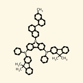 Cc1ccc2c(-c3cccc4cc(-n5c6ccc(N(c7ccccc7)c7ccc8c(c7)C(C)(C)c7ccccc7-8)cc6c6cc(N(c7ccccc7)c7ccc8c(c7)C(C)(C)c7ccccc7-8)ccc65)ccc34)cccc2c1